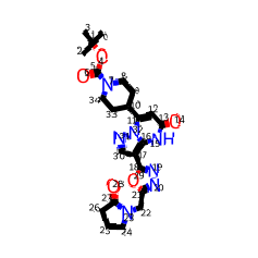 CC(C)(C)OC(=O)N1CCC(c2cc(=O)[nH]c3c(-c4nnc(CN5CCCC5=O)o4)cnn23)CC1